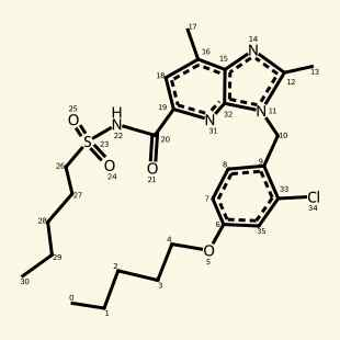 CCCCCOc1ccc(Cn2c(C)nc3c(C)cc(C(=O)NS(=O)(=O)CCCCC)nc32)c(Cl)c1